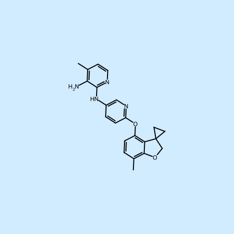 Cc1ccnc(Nc2ccc(Oc3ccc(C)c4c3C3(CC3)CO4)nc2)c1N